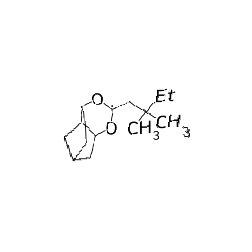 [CH2]CC(C)(C)C[C]1OC2CC3CC(O1)C2C3